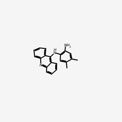 Cc1cc(N)c(Nc2c3ccccc3nc3ccccc23)cc1C